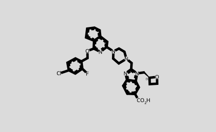 O=C(O)c1ccc2nc(CN3CCN(c4cc5ccccc5c(OCc5ccc(Cl)cc5F)n4)CC3)n(C[C@@H]3CCO3)c2c1